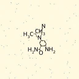 CC(C)CN(CCC#N)c1ccc(N)c(C(N)=O)c1